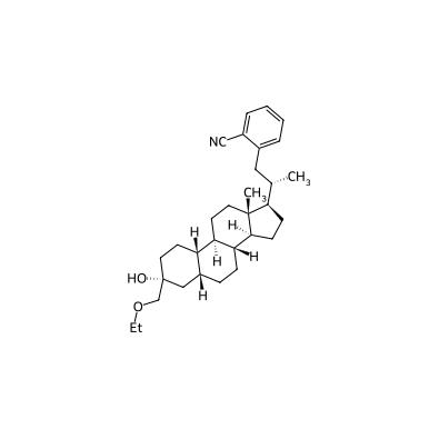 CCOC[C@@]1(O)CC[C@H]2[C@H](CC[C@@H]3[C@@H]2CC[C@]2(C)[C@@H]([C@@H](C)Cc4ccccc4C#N)CC[C@@H]32)C1